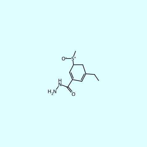 CCC1=CC(C(=O)NN)=CC([S+](C)[O-])C1